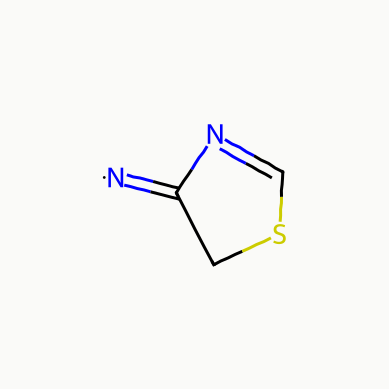 [N]=C1CSC=N1